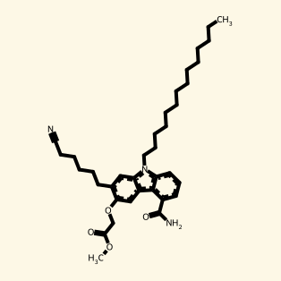 CCCCCCCCCCCCCCn1c2cc(CCCCCC#N)c(OCC(=O)OC)cc2c2c(C(N)=O)cccc21